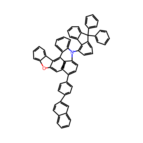 c1ccc(C2(c3ccccc3)c3ccccc3-c3c(N(c4ccc(-c5ccc(-c6ccc7ccccc7c6)cc5)cc4)c4ccccc4-c4cccc5oc6ccccc6c45)cccc32)cc1